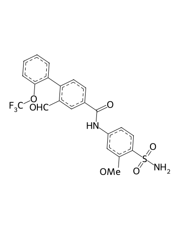 COc1cc(NC(=O)c2ccc(-c3ccccc3OC(F)(F)F)c(C=O)c2)ccc1S(N)(=O)=O